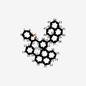 c1cc(-c2sc3ccccc3c2-c2cccc(-c3ccc4ccc5cccc6ccc3c4c56)c2)cc(-c2ccc3ccc4cccc5ccc2c3c45)c1